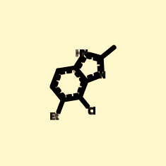 CCc1ccc2[nH]c(C)nc2c1Cl